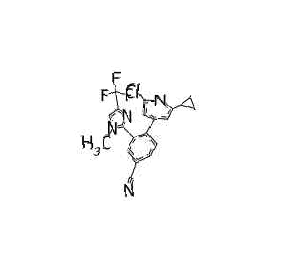 Cn1cc(C(F)(F)F)nc1-c1cc(C#N)ccc1-c1cc(Cl)nc(C2CC2)c1